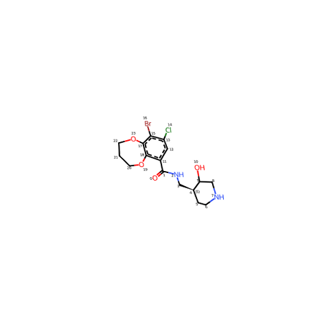 O=C(NC[C@@H]1CCNCC1O)c1cc(Cl)c(Br)c2c1OCCCO2